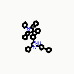 C1=C(c2ccc3c(c2)-c2ccccc2C32c3cc4ccccc4cc3N(c3ccccc3)c3cc4ccccc4cc32)NC(c2ccc(-c3ccccc3)cc2)N=C1c1ccccc1